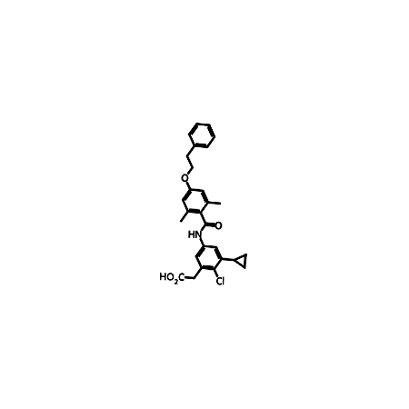 Cc1cc(OCCc2ccccc2)cc(C)c1C(=O)Nc1cc(CC(=O)O)c(Cl)c(C2CC2)c1